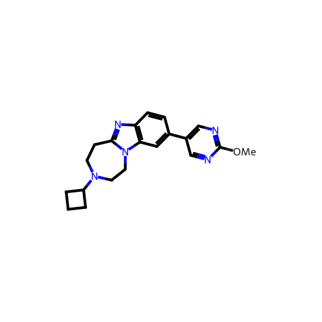 COc1ncc(-c2ccc3nc4n(c3c2)CCN(C2CCC2)CC4)cn1